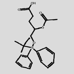 CC(=O)SC(CCC(=O)O)CO[Si](c1ccccc1)(c1ccccc1)C(C)(C)C